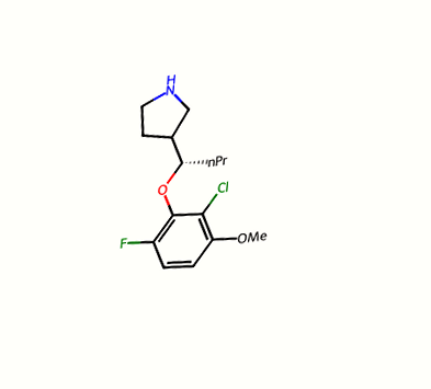 CCC[C@H](Oc1c(F)ccc(OC)c1Cl)C1CCNC1